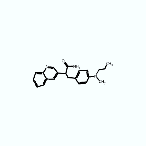 CCCN(C)c1ccc(CC(C(N)=O)c2cnc3ccccc3c2)cc1